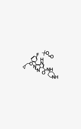 CC(C)(C)OC=O.O=C(NC1CCNCC1)c1c[nH]c2c(-c3cc(F)ccc3OCC3CC3)ncnc12